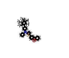 [2H]c1c([2H])c([2H])c(-c2ccc(N(c3ccccc3)c3ccc(-c4ccc5oc6ccccc6c5c4)s3)cc2)c([2H])c1[2H]